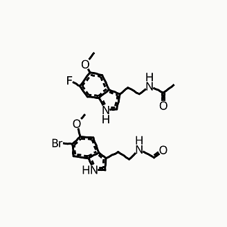 COc1cc2c(CCNC(C)=O)c[nH]c2cc1F.COc1cc2c(CCNC=O)c[nH]c2cc1Br